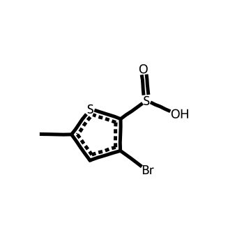 Cc1cc(Br)c(S(=O)O)s1